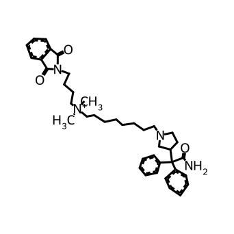 C[N+](C)(CCCCCCCCN1CCC(C(C(N)=O)(c2ccccc2)c2ccccc2)C1)CCCCN1C(=O)c2ccccc2C1=O